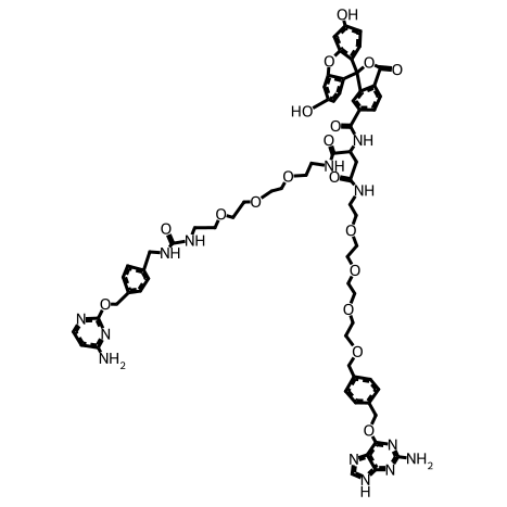 Nc1ccnc(OCc2ccc(CNC(=O)NCCOCCOCCOCCNC(=O)C(CC(=O)NCCOCCOCCOCCOCc3ccc(COc4nc(N)nc5[nH]cnc45)cc3)NC(=O)c3ccc4c(c3)C3(OC4=O)c4ccc(O)cc4Oc4cc(O)ccc43)cc2)n1